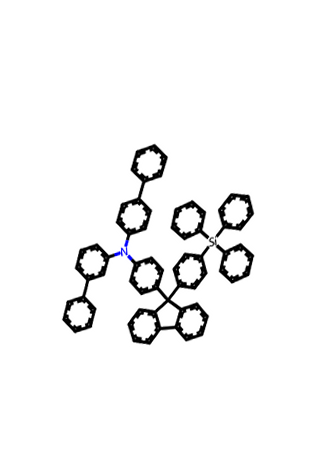 c1ccc(-c2ccc(N(c3ccc(C4(c5ccc([Si](c6ccccc6)(c6ccccc6)c6ccccc6)cc5)c5ccccc5-c5ccccc54)cc3)c3cccc(-c4ccccc4)c3)cc2)cc1